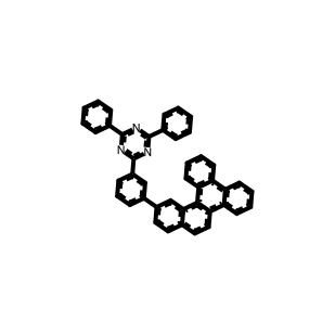 c1ccc(-c2nc(-c3ccccc3)nc(-c3cccc(-c4ccc5ccc6c7ccccc7c7ccccc7c6c5c4)c3)n2)cc1